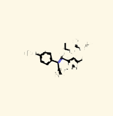 CCn1nc(C)cc1/C(OC(C)OC(=O)OC(C)C)=C(/c1ccc(C(C)(C)C)cc1)C1C=N1